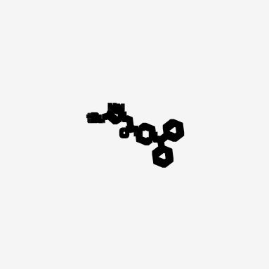 CC(C)(C)c1cn(CC(=O)N2CCN(C(c3ccccc3)c3ccccc3)CC2)nn1